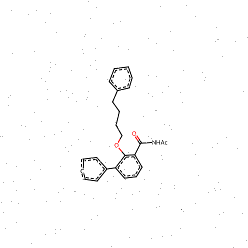 CC(=O)NC(=O)c1cccc(-c2ccccc2)c1OCCCCc1ccccc1